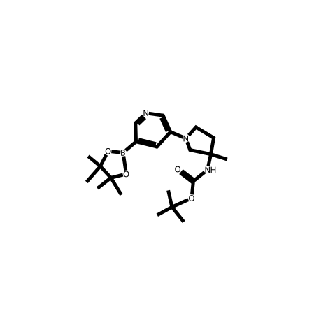 CC1(NC(=O)OC(C)(C)C)CCN(c2cncc(B3OC(C)(C)C(C)(C)O3)c2)C1